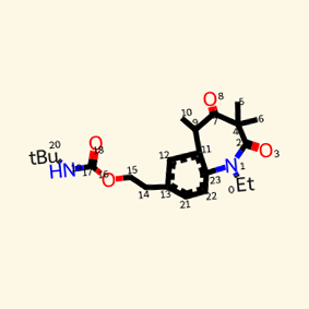 CCN1C(=O)C(C)(C)C(=O)C(C)c2cc(CCOC(=O)NC(C)(C)C)ccc21